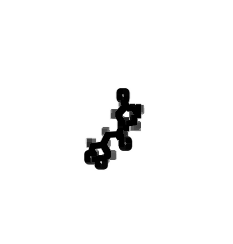 O=C1CN(C(=O)CC2COOC2)C=N1